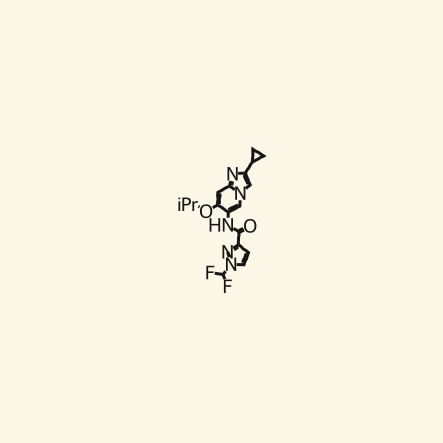 CC(C)Oc1cc2nc(C3CC3)cn2cc1NC(=O)c1ccn(C(F)F)n1